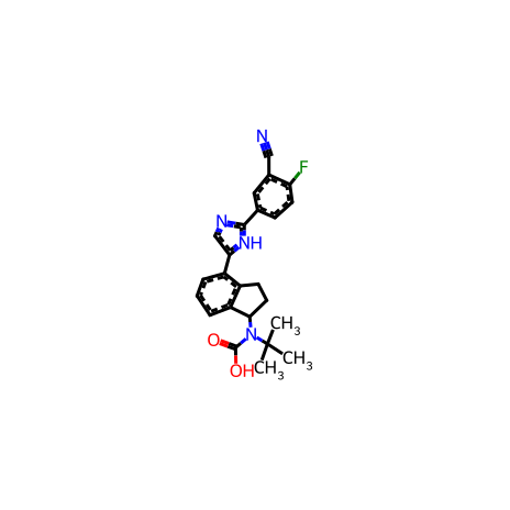 CC(C)(C)N(C(=O)O)C1CCc2c(-c3cnc(-c4ccc(F)c(C#N)c4)[nH]3)cccc21